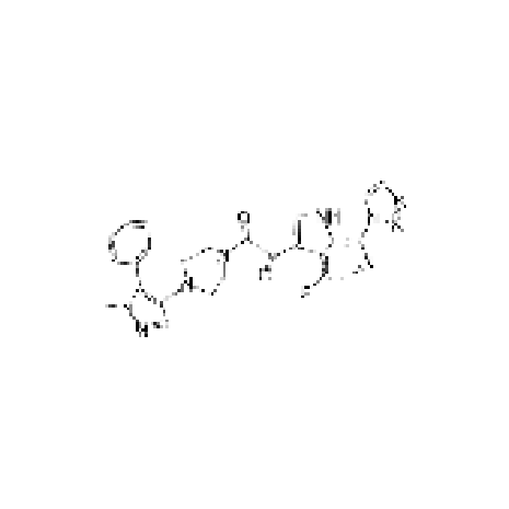 Cn1ncc(N2CCN(C(=O)C(=O)c3c[nH]c4c(-n5ccnn5)ncc(F)c34)CC2)c1-c1ccccc1